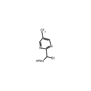 CCCCCCC(CC)c1ncc(C(F)(F)F)cn1